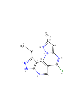 CCc1n[nH]c2ncc3c(Cl)nc4cc(C)nn4c3c12